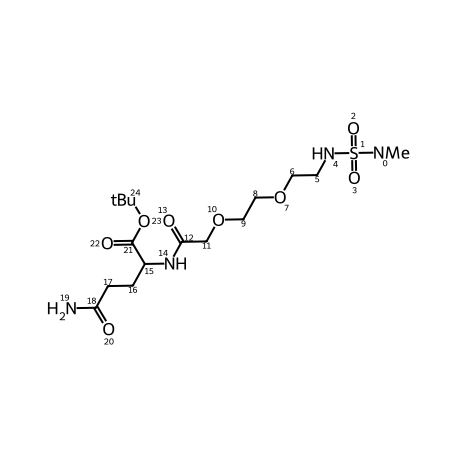 CNS(=O)(=O)NCCOCCOCC(=O)NC(CCC(N)=O)C(=O)OC(C)(C)C